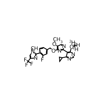 [2H]C([2H])([2H])Oc1ncnc(C2CC2)c1-c1ncc(OC)c(OCc2ccc(-c3nc(C(F)(F)F)cn3C)c(F)c2)n1